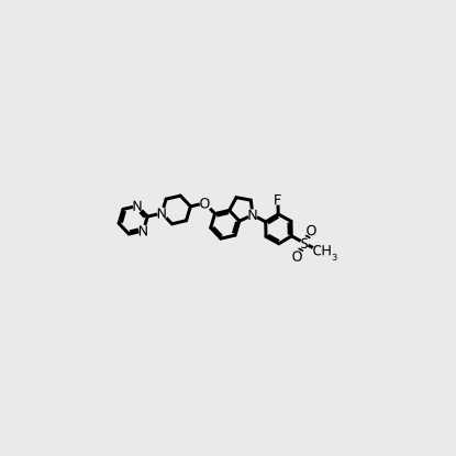 CS(=O)(=O)c1ccc(N2CCc3c(OC4CCN(c5ncccn5)CC4)cccc32)c(F)c1